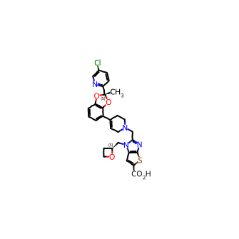 C[C@]1(c2ccc(Cl)cn2)Oc2cccc(C3=CCN(Cc4nc5sc(C(=O)O)cc5n4C[C@@H]4CCO4)CC3)c2O1